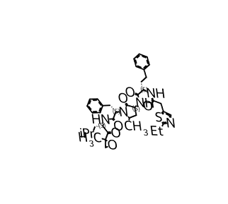 CCc1ncc(CC(=O)N[C@@H](CCc2ccccc2)C(=O)N[C@H]2CC(C)N([C@@H](Cc3ccccc3)C(=O)N[C@@H](CC(C)C)C(=O)C3(C)CO3)C2=O)s1